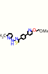 COCCOc1ccc(-c2ccc(-c3csc(Nc4cccc(C)n4)n3)cc2)cn1